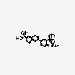 COc1ccc(-c2ccc3cc(B(O)O)ccc3c2)cc1C12CC3CC(CC(C3)C1)C2